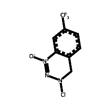 [O-][N+]1=NN(Cl)Cc2ccc(C(F)(F)F)cc21